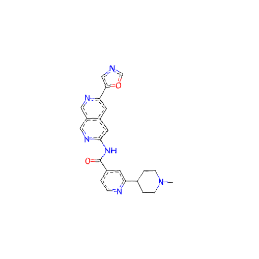 CN1CCC(c2cc(C(=O)Nc3cc4cc(-c5cnco5)ncc4cn3)ccn2)CC1